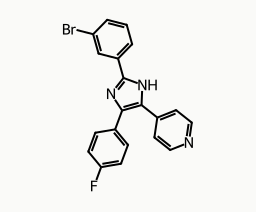 Fc1ccc(-c2nc(-c3cccc(Br)c3)[nH]c2-c2ccncc2)cc1